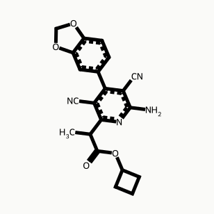 CC(C(=O)OC1CCC1)c1nc(N)c(C#N)c(-c2ccc3c(c2)OCO3)c1C#N